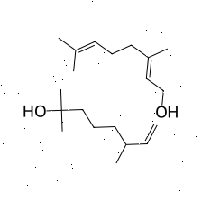 C=CC(C)CCCC(C)(C)O.CC(C)=CCCC(C)=CCO